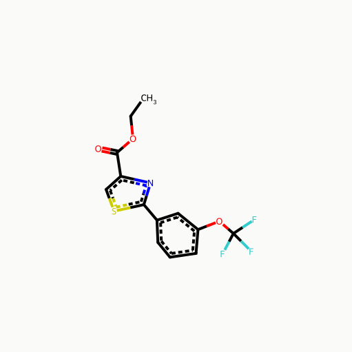 CCOC(=O)c1csc(-c2cccc(OC(F)(F)F)c2)n1